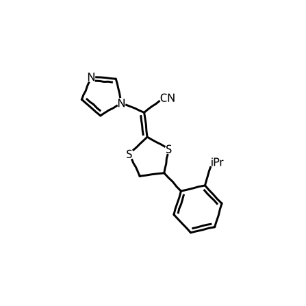 CC(C)c1ccccc1C1CSC(=C(C#N)n2ccnc2)S1